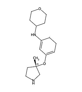 C[C@]1(OC2=CC[CH]C(NC3CCOCC3)=C2)CCNC1